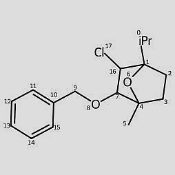 CC(C)C12CCC(C)(O1)C(OCc1ccccc1)C2Cl